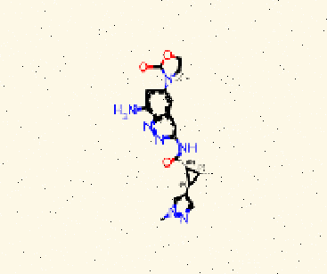 C[C@H]1[C@@H](C(=O)Nc2cc3cc(N4C(=O)OC[C@@H]4C)cc(N)c3nn2)[C@@H]1c1cnn(C)c1